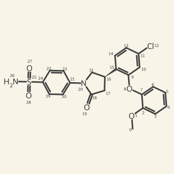 COc1ccccc1Oc1cc(Cl)ccc1[C@H]1CC(=O)N(c2ccc(S(N)(=O)=O)cc2)C1